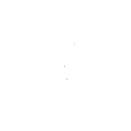 Cc1cc(F)ccc1C1CCCN(C(=O)O)C1